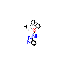 CC(C)c1ccccc1OCCNc1ncnc2ccccc12